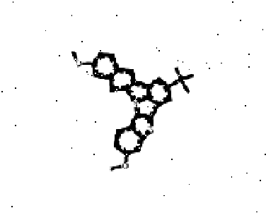 COc1ccc2cc3c4cc(C(C)(C)C)cc5c6sc7cc(OC)ccc7c6n(c3cc2c1)c45